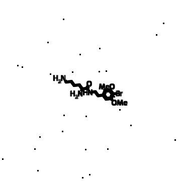 COc1cc(CCNC(=O)C(N)CCCCN)c(OC)cc1Br